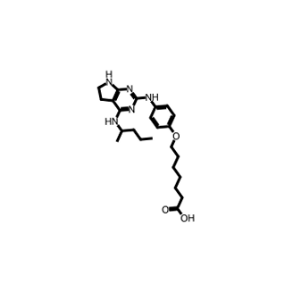 CCCC(C)Nc1nc(Nc2ccc(OCCCCCCC(=O)O)cc2)nc2c1CCN2